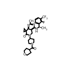 Cc1nc(N[C@H](C)c2cccc(C(F)(F)F)c2F)c2c(n1)C1(CC1)C(=O)N(C1CCN(C(=O)C3CCOCC3)CC1)C2